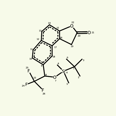 CC(C)(C)[Si](C)(C)OC(c1ccc2ccc3c(c2c1)CC(=O)O3)C(F)(F)F